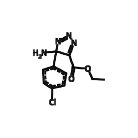 CCOC(=O)C1=NN=NC1(N)c1ccc(Cl)cc1